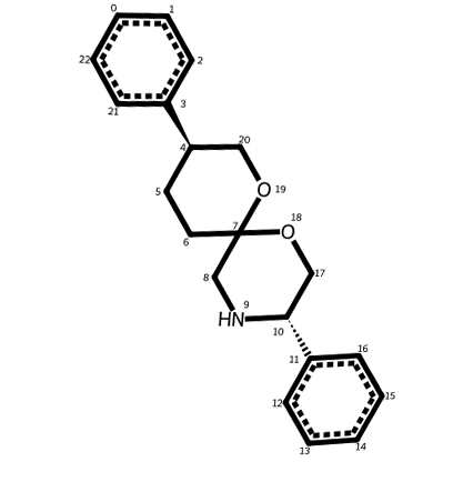 c1ccc([C@@H]2CCC3(CN[C@@H](c4ccccc4)CO3)OC2)cc1